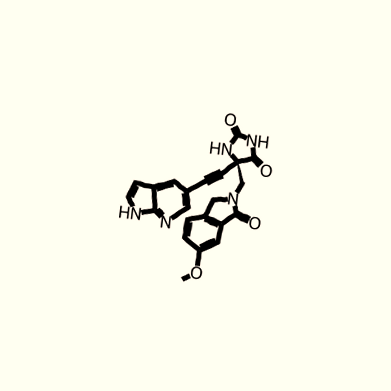 COc1ccc2c(c1)C(=O)N(C[C@@]1(C#Cc3cnc4[nH]ccc4c3)NC(=O)NC1=O)C2